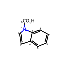 O=C(O)n1ccc2ccccc21